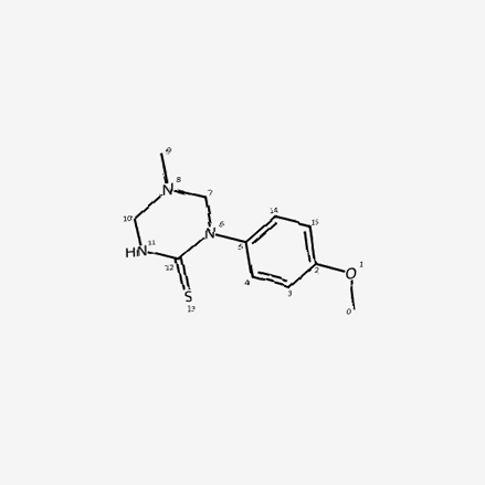 COc1ccc(N2CN(C)CNC2=S)cc1